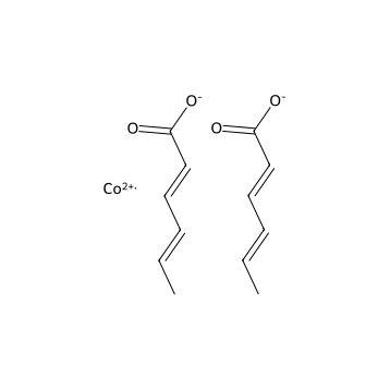 CC=CC=CC(=O)[O-].CC=CC=CC(=O)[O-].[Co+2]